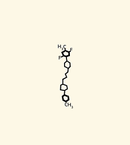 Cc1ccc(C2CCC(CCCCC3CCC(c4cc(F)c(C)cc4F)CC3)CC2)cc1